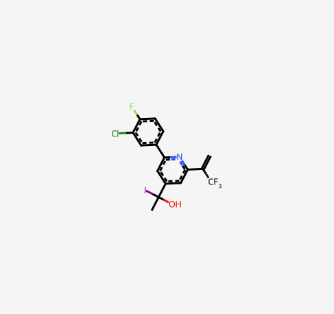 C=C(c1cc(C(C)(O)I)cc(-c2ccc(F)c(Cl)c2)n1)C(F)(F)F